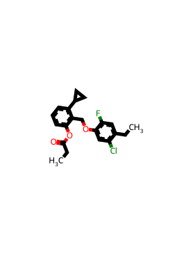 CCC(=O)Oc1cccc(C2CC2)c1COc1cc(Cl)c(CC)cc1F